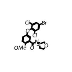 COc1ccc(Oc2c(Cl)cc(Br)cc2Cl)cc1C(=O)/N=[Si]1\CCOC1